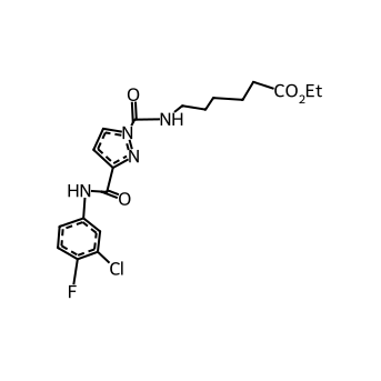 CCOC(=O)CCCCCNC(=O)n1ccc(C(=O)Nc2ccc(F)c(Cl)c2)n1